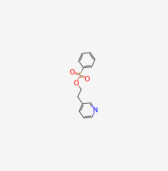 O=S(=O)(OCCc1cccnc1)c1ccccc1